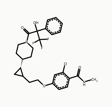 CNC(=O)c1ccc(OCCC2C[C@@H]2C2CCN(C(=O)C(O)(c3ccccc3)C(F)(F)F)CC2)cc1Cl